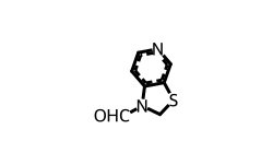 O=CN1CSc2cnccc21